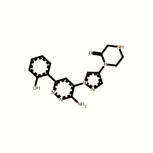 Nc1nnc(-c2ccccc2O)cc1-n1cc(N2CCNCC2=O)cn1